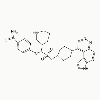 NC(=O)c1ccc(OC(C2CCCNC2)S(=O)(=O)CC2CCC(c3cnnc4cnc5[nH]ccc5c34)CC2)cc1